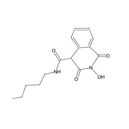 CCCCCNC(=O)C1C(=O)N(O)C(=O)c2ccccc21